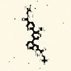 Nc1ncc(-c2ccnc3[nH]c(C(=O)NCC(F)(F)F)cc23)cc1-c1ccc(C(=O)NCC(F)(F)F)cn1